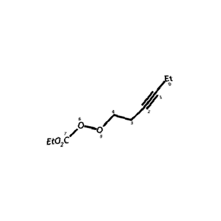 CCC#CCCOOC(=O)OCC